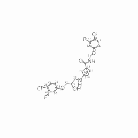 O=C(NCOc1ccc(Cl)c(F)c1)C12CCC(NCC(O)COc3ccc(Cl)c(F)c3)(C1)C2